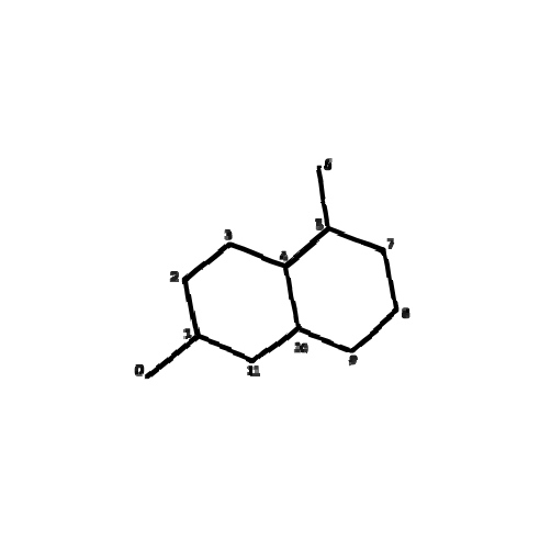 CC1CCC2C(C)CCCC2C1